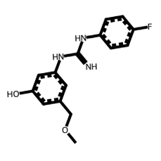 COCc1cc(O)cc(NC(=N)Nc2ccc(F)cc2)c1